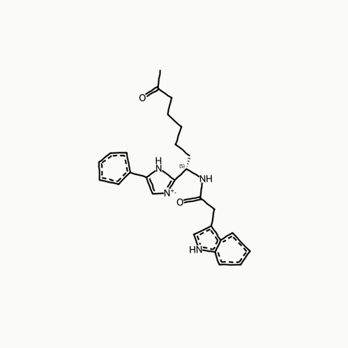 CC(=O)CCCCC[C@H](NC(=O)Cc1c[nH]c2ccccc12)C1=[N+]C=C(c2ccccc2)N1